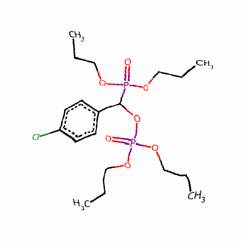 CCCOP(=O)(OCCC)OC(c1ccc(Cl)cc1)P(=O)(OCCC)OCCC